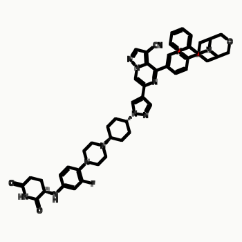 N#Cc1cnn2cc(-c3cnn([C@H]4CC[C@H](N5CCN(c6ccc(N[C@@H]7CCC(=O)NC7=O)cc6F)CC5)CC4)c3)nc(-c3ccc(N4CC5COCC(C4)N5Cc4ccccn4)nc3)c12